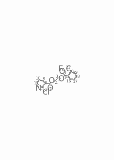 O=C(OCCOC(=O)c1cccnc1Cl)c1ccccc1C(F)(F)F